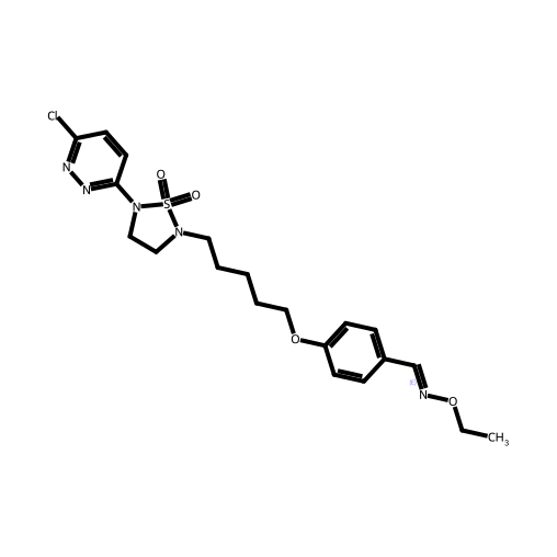 CCO/N=C/c1ccc(OCCCCCN2CCN(c3ccc(Cl)nn3)S2(=O)=O)cc1